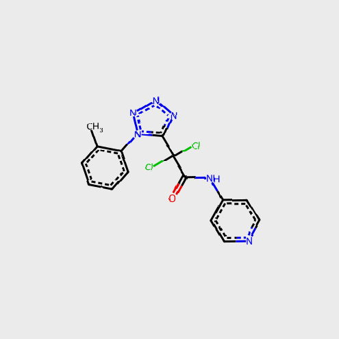 Cc1ccccc1-n1nnnc1C(Cl)(Cl)C(=O)Nc1ccncc1